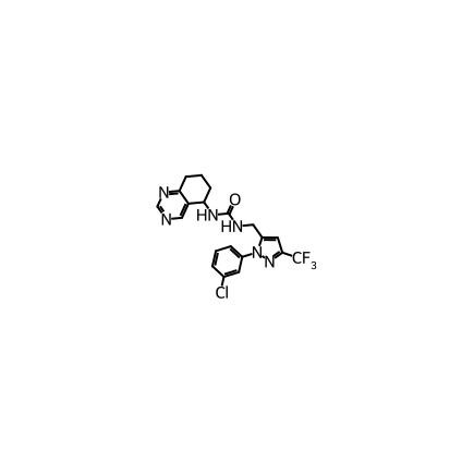 O=C(NCc1cc(C(F)(F)F)nn1-c1cccc(Cl)c1)NC1CCCc2ncncc21